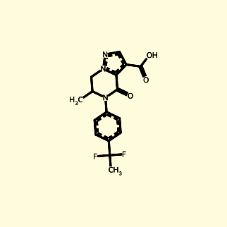 CC1Cn2ncc(C(=O)O)c2C(=O)N1c1ccc(C(C)(F)F)cc1